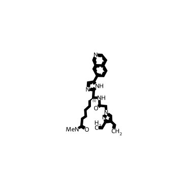 C=Cc1cn(CC(=O)N[C@@H](CCCCCC(=O)NC)c2ncc(-c3ccc4ccncc4c3)[nH]2)nc1C=C